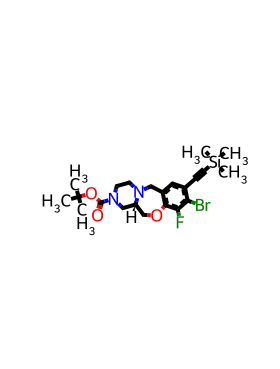 CC(C)(C)OC(=O)N1CCN2Cc3cc(C#C[Si](C)(C)C)c(Br)c(F)c3OC[C@H]2C1